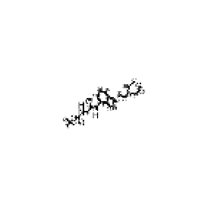 CC(C)(C)OC(=O)NCC(=O)Nc1cccc2c1cnn2CCN1CCOCC1